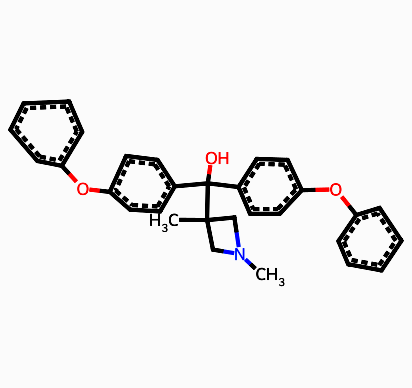 CN1CC(C)(C(O)(c2ccc(Oc3ccccc3)cc2)c2ccc(Oc3ccccc3)cc2)C1